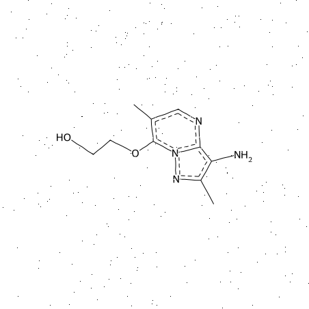 Cc1cnc2c(N)c(C)nn2c1OCCO